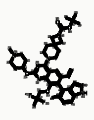 C=Cc1cc2c(N3CCC4(CC3)CN(C(=O)OC(C)(C)C)C4)nc(OC3CCN(C)CC3)nc2c(OCC(C)(F)F)c1-c1c(C)ccc2[nH]ncc12